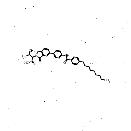 CCCCCCCCCc1ccc(C(=O)Nc2ccc(-c3ccc4c(c3)C(=O)N(C(C(=O)O)C(C)C)C4)cc2)cc1